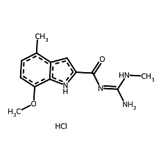 CNC(N)=NC(=O)c1cc2c(C)ccc(OC)c2[nH]1.Cl